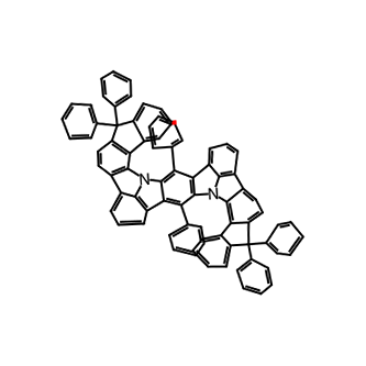 c1ccc(-c2c3c4cccc5c6ccc7c(c6n(c3c(-c3ccccc3)c3c6cccc8c9ccc%10c(c9n(c23)c86)-c2ccccc2C%10(c2ccccc2)c2ccccc2)c54)-c2ccccc2C7(c2ccccc2)c2ccccc2)cc1